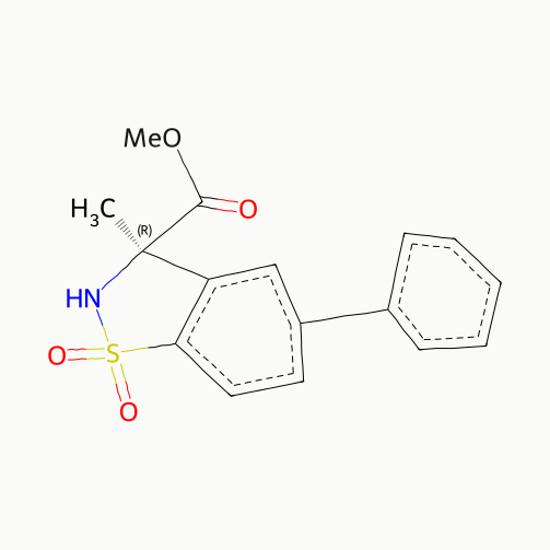 COC(=O)[C@]1(C)NS(=O)(=O)c2ccc(-c3ccccc3)cc21